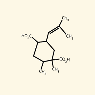 CC(C)=CC1CC(C)(C(=O)O)C(C)CC1C(=O)O